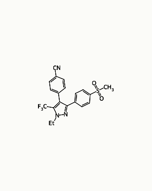 CCn1nc(-c2ccc(S(C)(=O)=O)cc2)c(-c2ccc(C#N)cc2)c1C(F)(F)F